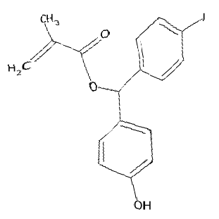 C=C(C)C(=O)OC(c1ccc(O)cc1)c1ccc(I)cc1